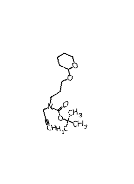 C#CCN(CCCOC1CCCCO1)C(=O)OC(C)(C)C